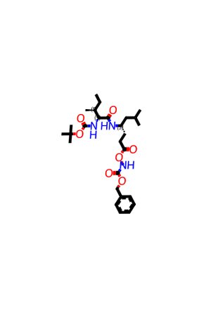 CC[C@H](C)[C@H](NC(=O)OC(C)(C)C)C(=O)N[C@@H](CCC(=O)ONC(=O)OCc1ccccc1)CC(C)C